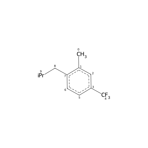 Cc1cc(C(F)(F)F)ccc1CC(C)C